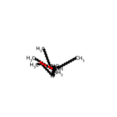 CCCCCCCCCCCCCCCCCC(=O)NCCC(CCCCCCCCCCCCCCCCC)(C(N)CN1CCN=C1CCCCCCCCCCCCCC)N1CCN=C1CCCCCCCCCCCCCCCC